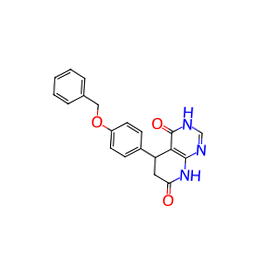 O=C1CC(c2ccc(OCc3ccccc3)cc2)c2c(nc[nH]c2=O)N1